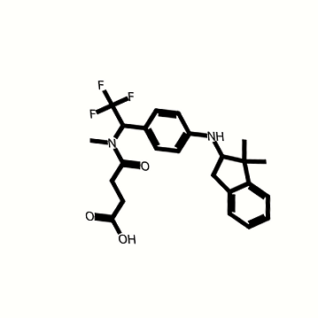 CN(C(=O)CCC(=O)O)C(c1ccc(NC2Cc3ccccc3C2(C)C)cc1)C(F)(F)F